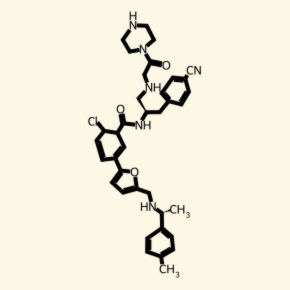 Cc1ccc([C@@H](C)NCc2ccc(C3=CC(C(=O)N[C@@H](CNCC(=O)N4CCNCC4)Cc4ccc(C#N)cc4)C(Cl)C=C3)o2)cc1